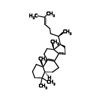 CC(C)=CCC[C@@H](C)[C@H]1CC=C2C3=C(CC[C@@]21C)[C@@]1(C)CCCC(C)(C)[C@@H]1CC3